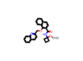 O=COC1(NC(=O)c2ccc3ccccc3c2OCc2ccc3ccccc3n2)CCC1